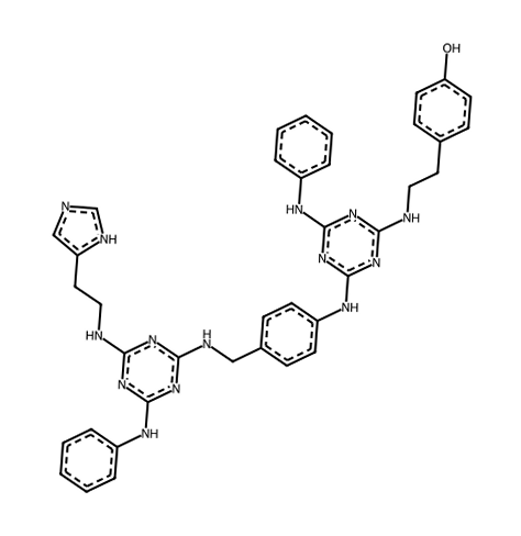 Oc1ccc(CCNc2nc(Nc3ccccc3)nc(Nc3ccc(CNc4nc(NCCc5cnc[nH]5)nc(Nc5ccccc5)n4)cc3)n2)cc1